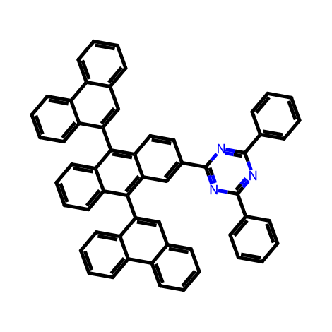 c1ccc(-c2nc(-c3ccccc3)nc(-c3ccc4c(-c5cc6ccccc6c6ccccc56)c5ccccc5c(-c5cc6ccccc6c6ccccc56)c4c3)n2)cc1